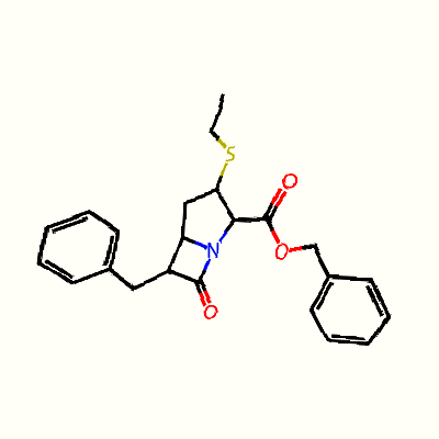 CCSC1CC2C(Cc3ccccc3)C(=O)N2C1C(=O)OCc1ccccc1